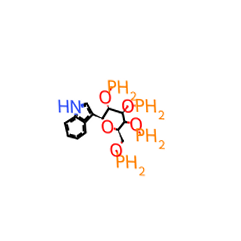 POC[C@H]1O[C@@H](c2c[nH]c3ccccc23)[C@H](OP)[C@@H](OP)C1OP